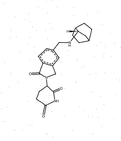 O=C1CCC(N2Cc3cc(CN[C@H]4CC5CCC4CC5)ccc3C2=O)C(=O)N1